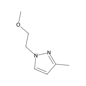 COCCn1ccc(C)n1